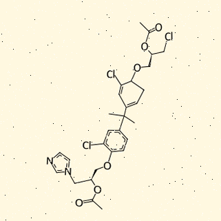 CC(=O)O[C@H](COc1ccc(C(C)(C)C2=CCC(OC[C@H](CCl)OC(C)=O)C(Cl)=C2)cc1Cl)Cn1ccnc1